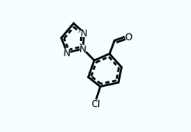 O=Cc1ccc(Cl)cc1-n1nccn1